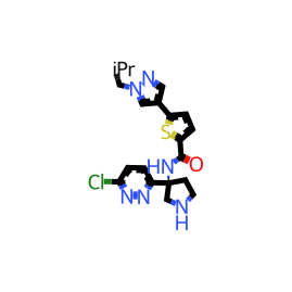 CC(C)Cn1cc(-c2ccc(C(=O)N[C@]3(c4ccc(Cl)nn4)CCNC3)s2)cn1